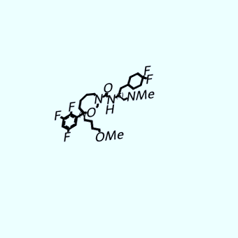 CNC[C@H](CC1CCC(F)(F)CC1)NC(=O)N1CCCC[C@@](CCCCOC)(c2cc(F)cc(F)c2F)OC1